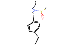 CCc1ccc(CN(C)[S+](C)[O-])cc1